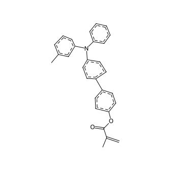 C=C(C)C(=O)Oc1ccc(-c2ccc(N(c3ccccc3)c3cccc(C)c3)cc2)cc1